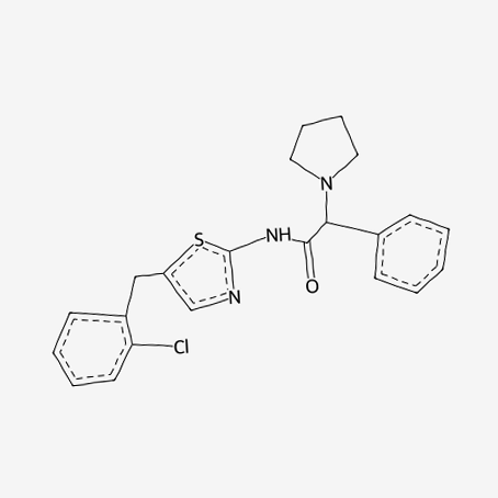 O=C(Nc1ncc(Cc2ccccc2Cl)s1)C(c1ccccc1)N1CCCC1